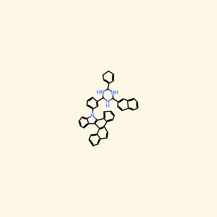 C1=CC(C2NC(c3cccc(-n4c5ccccc5c5c6c7ccccc7ccc6c6ccccc6c54)c3)NC(c3ccc4ccccc4c3)N2)=CCC1